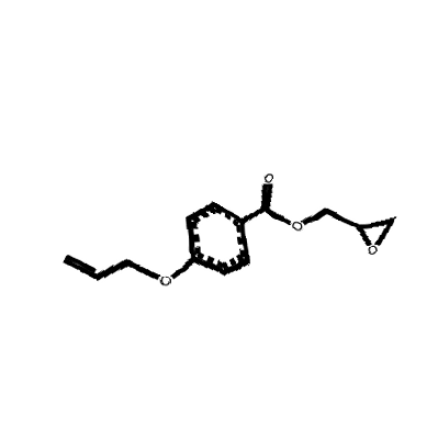 C=CCOc1ccc(C(=O)OCC2CO2)cc1